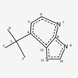 CC(C)(C)c1ccnc2ncsc12